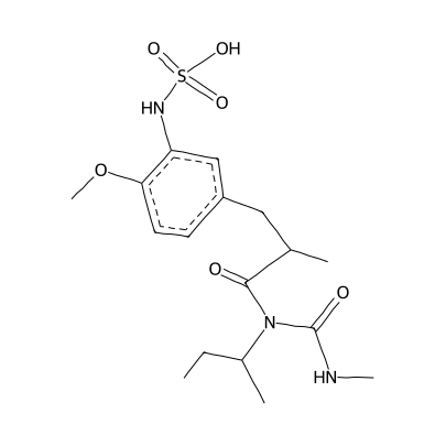 CCC(C)N(C(=O)NC)C(=O)C(C)Cc1ccc(OC)c(NS(=O)(=O)O)c1